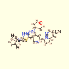 CC(=O)NC1[C@@H]2CC[C@H]1CN(c1nnc(-c3cnc(-c4ccc5cc(C#N)cnn45)cc3NC3CCOCC3)s1)C2